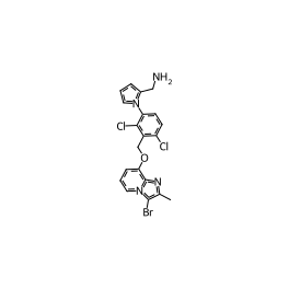 Cc1nc2c(OCc3c(Cl)ccc(-n4cccc4CN)c3Cl)cccn2c1Br